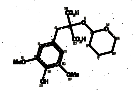 COc1cc(CC(OC2CCCCO2)(C(=O)O)C(=O)O)cc(OC)c1O